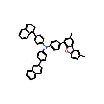 Cc1ccc2oc3c(-c4ccc(N(c5ccc(C6=c7ccccc7=CCC6)cc5)c5ccc(-c6ccc7ccccc7c6)cc5)cc4)cc(C)cc3c2c1